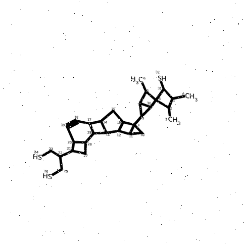 CC1C(C)C2(C(C)C3C(C45CC4C4C6C(CC45)C4C#CC5C(C(CS)CS)CC5C46)C32)C1S